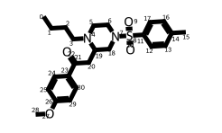 CCCCN1CCN(S(=O)(=O)c2ccc(C)cc2)CC1CC(=O)c1ccc(OC)cc1